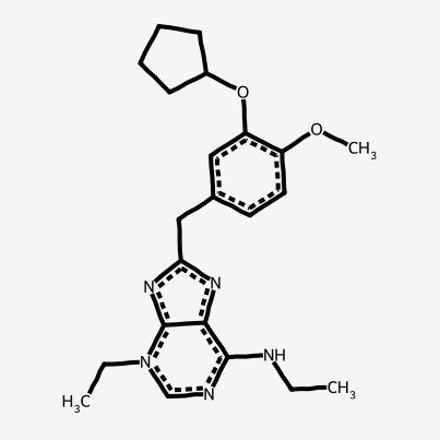 CCNc1ncn(CC)c2nc(Cc3ccc(OC)c(OC4CCCC4)c3)nc1-2